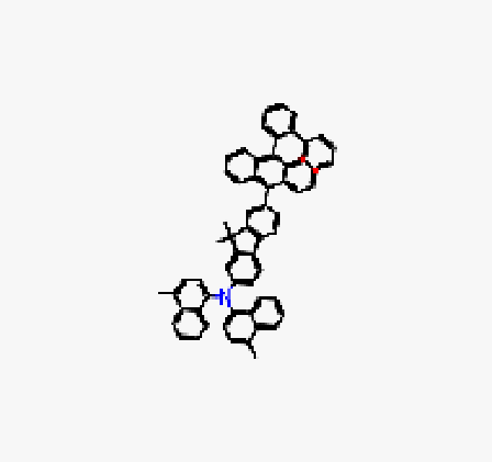 Cc1ccc(N(c2ccc3c(c2)C(C)(C)c2cc(-c4c5ccccc5c(-c5ccccc5-c5ccccc5)c5ccccc45)ccc2-3)c2ccc(C)c3ccccc23)c2ccccc12